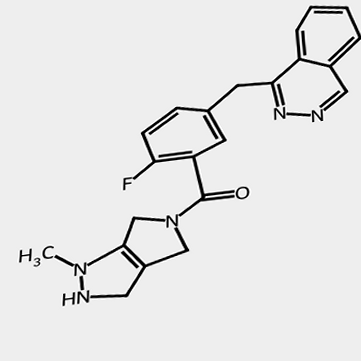 CN1NCC2=C1CN(C(=O)c1cc(Cc3nncc4ccccc34)ccc1F)C2